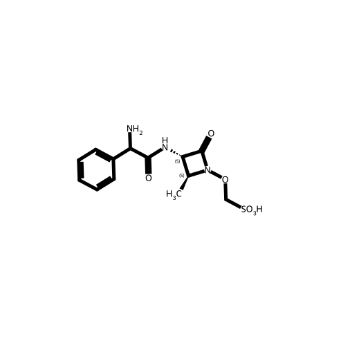 C[C@H]1[C@H](NC(=O)C(N)c2ccccc2)C(=O)N1OCS(=O)(=O)O